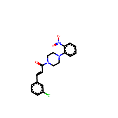 O=C(C=Cc1cccc(Cl)c1)N1CCN(c2ccccc2[N+](=O)[O-])CC1